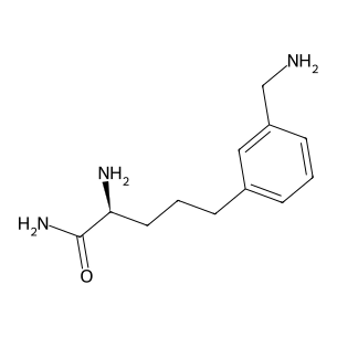 NCc1cccc(CCC[C@H](N)C(N)=O)c1